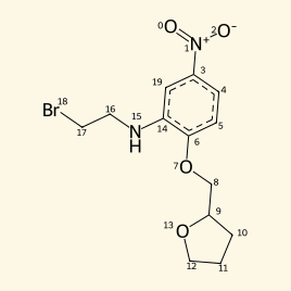 O=[N+]([O-])c1ccc(OCC2CCCO2)c(NCCBr)c1